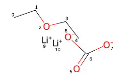 CCOCC.O=C([O-])[O-].[Li+].[Li+]